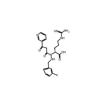 N=C(N)NCCC[C@@H](C(=O)O)N(NCc1cccc(I)c1)C(=O)CC(=O)c1cccnc1